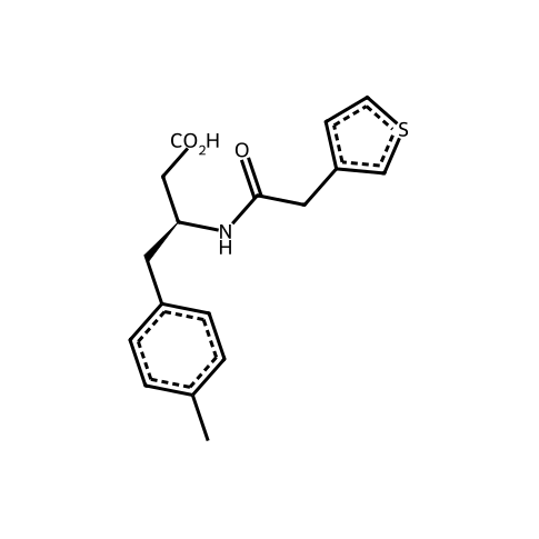 Cc1ccc(C[C@@H](CC(=O)O)NC(=O)Cc2ccsc2)cc1